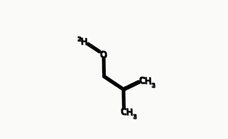 [2H]OCC(C)C